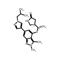 Cc1c2c(O[C@H](C)[C@H]3CNC(=O)C3)cc(-c3cnn(CC(C)C)c3)cc2nn1C